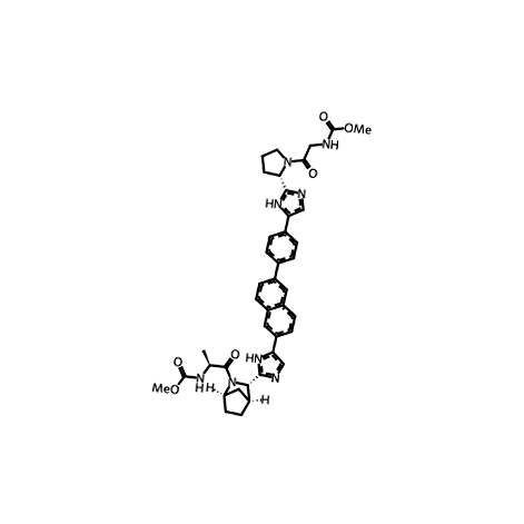 COC(=O)NCC(=O)N1CCC[C@H]1c1ncc(-c2ccc(-c3ccc4cc(-c5cnc([C@@H]6[C@H]7CC[C@H](C7)N6C(=O)[C@H](C)NC(=O)OC)[nH]5)ccc4c3)cc2)[nH]1